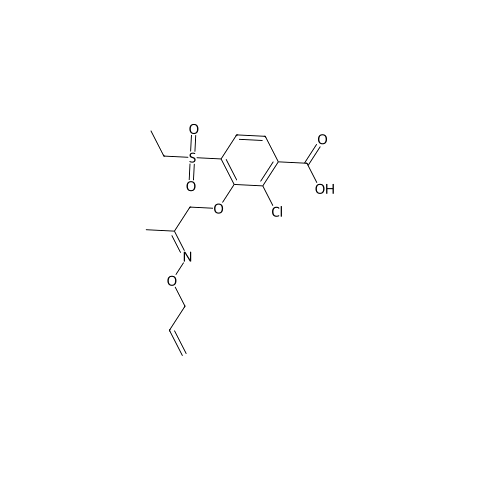 C=CCON=C(C)COc1c(S(=O)(=O)CC)ccc(C(=O)O)c1Cl